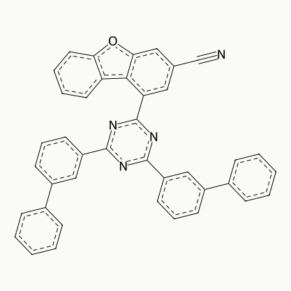 N#Cc1cc(-c2nc(-c3cccc(-c4ccccc4)c3)nc(-c3cccc(-c4ccccc4)c3)n2)c2c(c1)oc1ccccc12